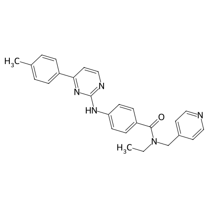 CCN(Cc1ccncc1)C(=O)c1ccc(Nc2nccc(-c3ccc(C)cc3)n2)cc1